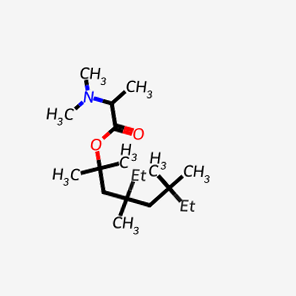 CCC(C)(C)CC(C)(CC)CC(C)(C)OC(=O)C(C)N(C)C